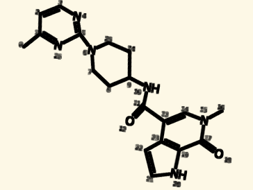 Cc1ccnc(N2CCC(NC(=O)c3cn(C)c(=O)c4[nH]ccc34)CC2)n1